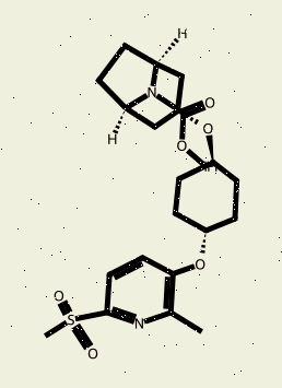 Cc1nc(S(C)(=O)=O)ccc1O[C@H]1CC[C@H](O[C@@H]2C[C@H]3CC[C@@H](C2)N3C(=O)OC(C)C)CC1